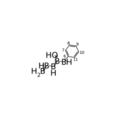 BBBB(O)Bc1ccccc1